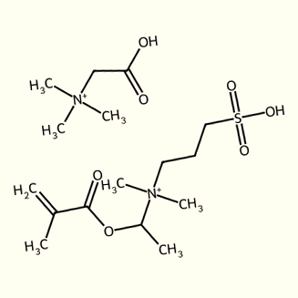 C=C(C)C(=O)OC(C)[N+](C)(C)CCCS(=O)(=O)O.C[N+](C)(C)CC(=O)O